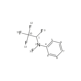 FC(N(F)c1ccccc1)C(F)(F)F